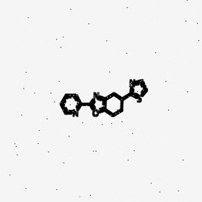 c1ccc(-c2nc3c(o2)CCC(c2nccs2)C3)nc1